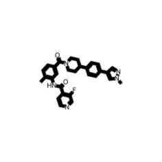 Cc1ccc(C(=O)N2CCC(c3ccc(-c4cnn(C)c4)cc3)CC2)cc1NC(=O)c1ccncc1F